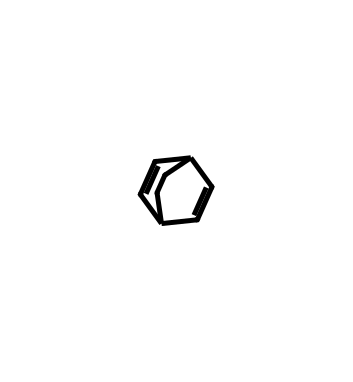 C1=CC2C=CC1CC2